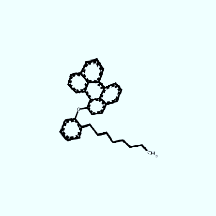 CCCCCCCCc1ccccc1Oc1ccc2cccc3c4cccc5cccc(c1c23)c54